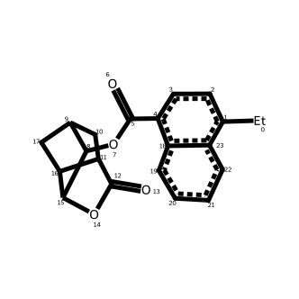 CCc1ccc(C(=O)OC2C3CC4C(=O)OC2C4C3)c2ccccc12